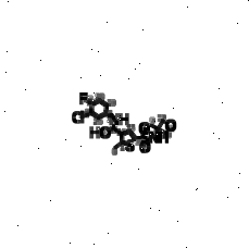 Cc1sc(S(=O)(=O)NC2(C)COC2)cc1C(O)Nc1ccc(F)c(Cl)c1